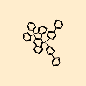 c1ccc(-c2ccc(N(c3ccc(-c4ccccc4)cc3)c3c4c(cc5ccccc35)[Si](c3ccccc3)(c3ccccc3)c3ccccc3-4)cc2)cc1